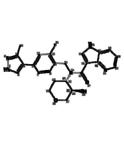 Cc1n[nH]cc1-c1ccc(CN(C(=O)c2c[nH]c3cccnc23)[C@H]2CCOC[C@@H]2O)c(F)c1